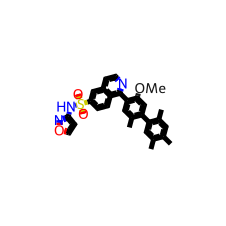 COc1cc(-c2cc(C)c(C)cc2C)c(C)cc1-c1nccc2cc(S(=O)(=O)Nc3ccon3)ccc12